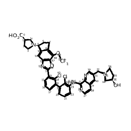 O=C(O)[C@@H]1CCN([C@@H]2CCc3c2cc2nc(-c4cccc(-c5cccc(Nc6nccc7cc(CN8CC[C@@H](O)C8)cnc67)c5Cl)c4Cl)oc2c3OC(F)(F)F)C1